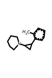 Cc1ccccc1C1CC1N1CCCCC1